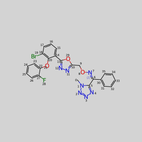 Cn1nnnc1/C(=N\OCc1nnc(-c2cccc(Br)c2Oc2ccccc2F)o1)c1ccccc1